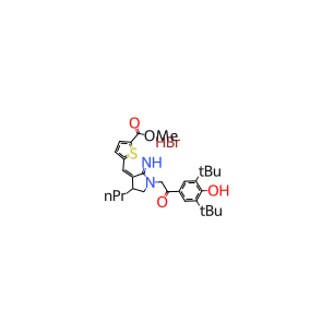 Br.CCCC1CN(CC(=O)c2cc(C(C)(C)C)c(O)c(C(C)(C)C)c2)C(=N)C1=Cc1ccc(C(=O)OC)s1